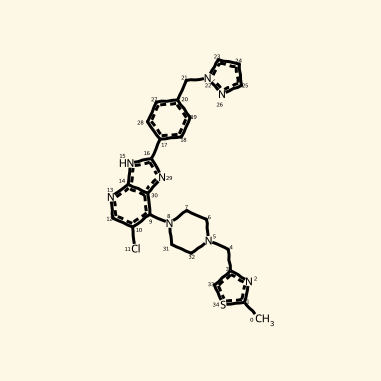 Cc1nc(CN2CCN(c3c(Cl)cnc4[nH]c(-c5ccc(Cn6cccn6)cc5)nc34)CC2)cs1